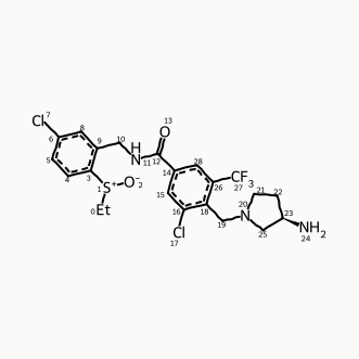 CC[S+]([O-])c1ccc(Cl)cc1CNC(=O)c1cc(Cl)c(CN2CC[C@@H](N)C2)c(C(F)(F)F)c1